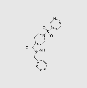 O=c1c2c([nH]n1Cc1ccccc1)CN(S(=O)(=O)c1cccnc1)CC2